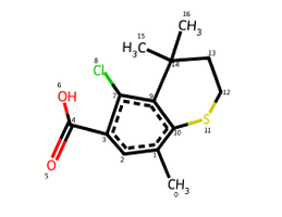 Cc1cc(C(=O)O)c(Cl)c2c1SCCC2(C)C